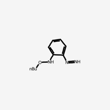 CCCCONc1ccccc1N=N